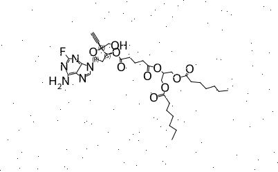 C#C[C@]1(CO)O[C@@H](n2cnc3c(N)nc(F)nc32)C[C@@H]1OC(=O)CCCC(=O)OC(COC(=O)CCCCCC)COC(=O)CCCCCC